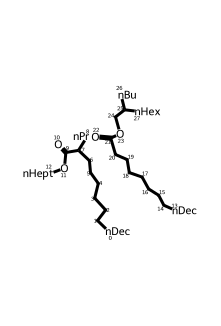 CCCCCCCCCCCCCCCCC(CCC)C(=O)OCCCCCCC.CCCCCCCCCCCCCCCCCC(=O)OCC(CCCC)CCCCCC